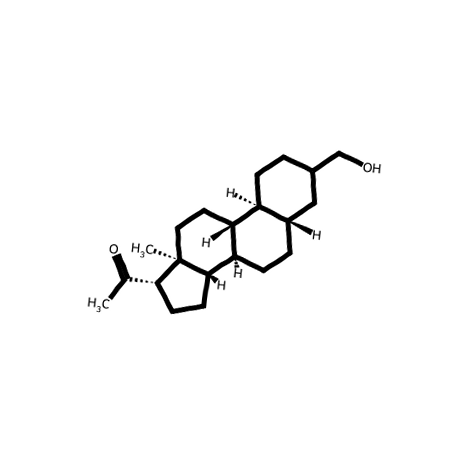 CC(=O)[C@H]1CC[C@H]2[C@@H]3CC[C@H]4CC(CO)CC[C@@H]4[C@H]3CC[C@]12C